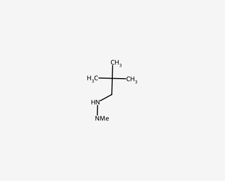 CNNCC(C)(C)C